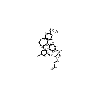 O=C(O)c1ccc2c(c1)CCCC(c1cc(F)cc(F)c1)=C2c1ccc(CC2CN(CCCF)C2)cc1